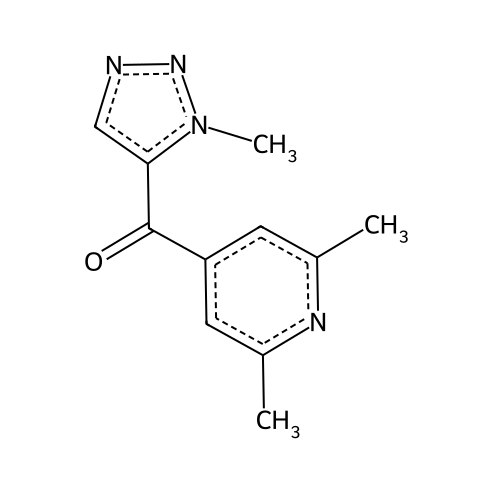 Cc1cc(C(=O)c2cnnn2C)cc(C)n1